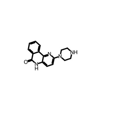 O=c1[nH]c2ccc(N3CCNCC3)nc2c2ccccc12